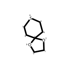 [CH]1COC2(CCSCC2)O1